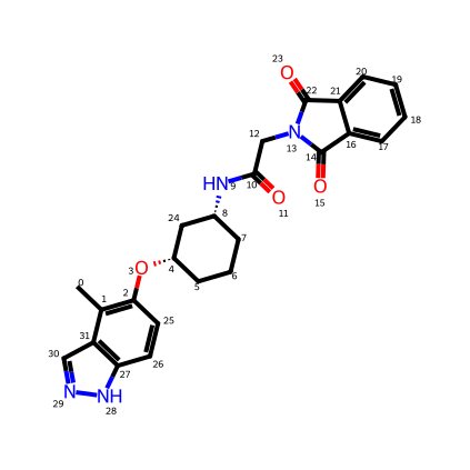 Cc1c(O[C@H]2CCC[C@@H](NC(=O)CN3C(=O)c4ccccc4C3=O)C2)ccc2[nH]ncc12